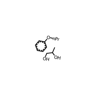 CC(O)CO.CCCOc1ccccc1